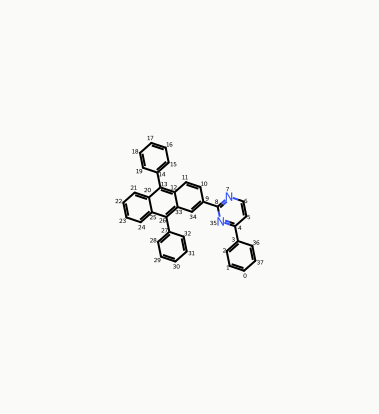 c1ccc(-c2ccnc(-c3ccc4c(-c5ccccc5)c5ccccc5c(-c5ccccc5)c4c3)n2)cc1